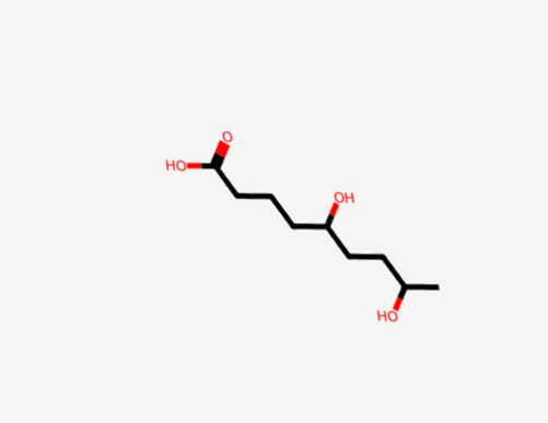 CC(O)CCC(O)CCCC(=O)O